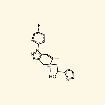 CC1=Cc2c(cnn2-c2ccc(F)cc2)C[C@]1(C)CC(O)c1cccs1